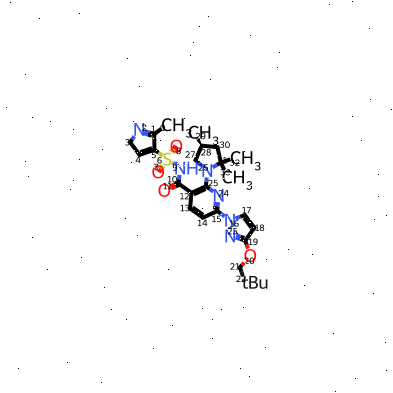 CC1=NCC=C1S(=O)(=O)NC(=O)c1ccc(-n2ccc(OCC(C)(C)C)n2)nc1N1C[C@@H](C)CC1(C)C